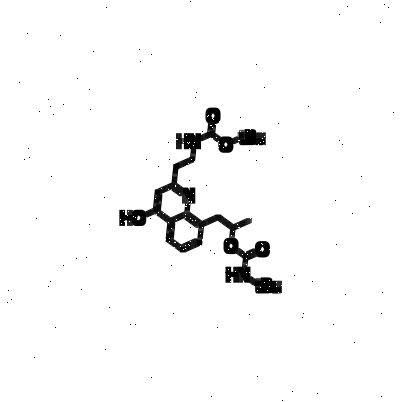 CC(Cc1cccc2c(O)cc(CCNC(=O)OC(C)(C)C)nc12)OC(=O)NC(C)(C)C